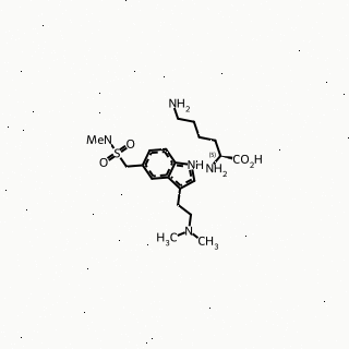 CNS(=O)(=O)Cc1ccc2[nH]cc(CCN(C)C)c2c1.NCCCC[C@H](N)C(=O)O